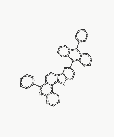 c1ccc(-c2c3ccccc3c(-c3ccc4sc5c(ccc6c(-c7ccccc7)nc7ccccc7c65)c4c3)c3ccccc23)cc1